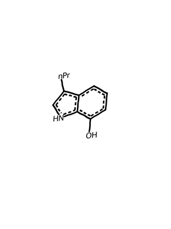 C[CH]Cc1c[nH]c2c(O)cccc12